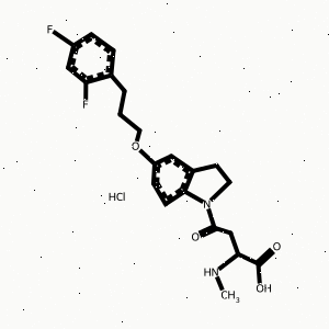 CNC(CC(=O)N1CCc2cc(OCCCc3ccc(F)cc3F)ccc21)C(=O)O.Cl